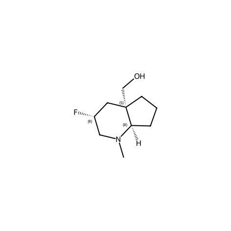 CN1C[C@H](F)C[C@@]2(CO)CCC[C@@H]12